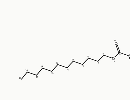 [CH2]C(Cl)C(=O)OCCCCCCCCCCCC